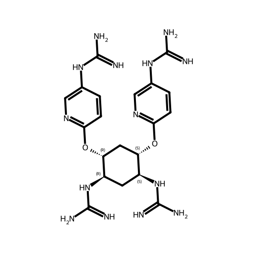 N=C(N)Nc1ccc(O[C@H]2C[C@@H](Oc3ccc(NC(=N)N)cn3)[C@H](NC(=N)N)C[C@@H]2NC(=N)N)nc1